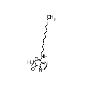 CCCCCCCCCCCCNC(=O)c1nccnc1C(N)=O